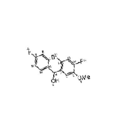 COc1cc(C(O)c2ccc(F)cc2)c(Br)cc1F